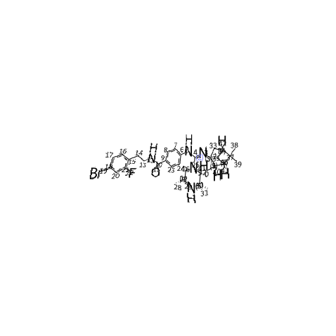 C[C@@H]1[C@@H](/N=C(/Nc2ccc(C(=O)NCCc3ccc(Br)cc3F)cc2)N2C[C@@H](C)N[C@@H](C)C2)C[C@H]2C[C@@H]1C2(C)C